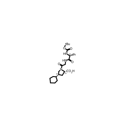 CC(C)[C@H](NC(=O)OC(C)(C)C)C(=O)NCC(=O)N1C[C@H](C2CCCCC2)C[C@H]1C(=O)O